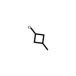 CC1[CH]C(Cl)C1